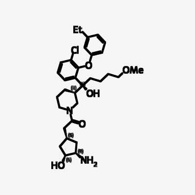 CCc1cccc(Oc2c(Cl)cccc2[C@](O)(CCCCOC)[C@@H]2CCCN(C(=O)C[C@H]3C[C@@H](N)[C@@H](O)C3)C2)c1